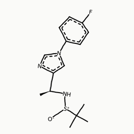 C[C@H](N[S+]([O-])C(C)(C)C)c1cn(-c2ccc(F)cc2)cn1